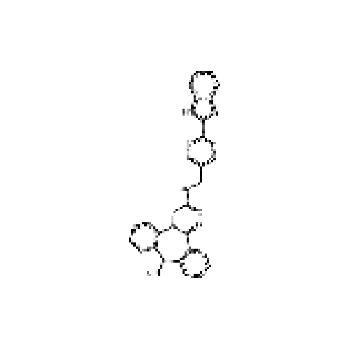 CC(=O)OC1c2ccccc2C(=O)N(CC(=O)NCc2ccc(-c3nc4ccccc4[nH]3)nc2)c2ccccc21